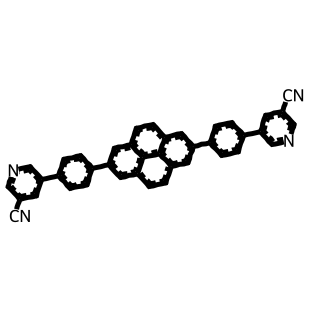 N#Cc1cncc(-c2ccc(-c3cc4ccc5cc(-c6ccc(-c7cncc(C#N)c7)cc6)cc6ccc(c3)c4c56)cc2)c1